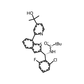 CC(C)(O)c1ccnc(-c2cccc3cc([C@H](N[S+]([O-])C(C)(C)C)c4c(F)cccc4Cl)sc23)c1